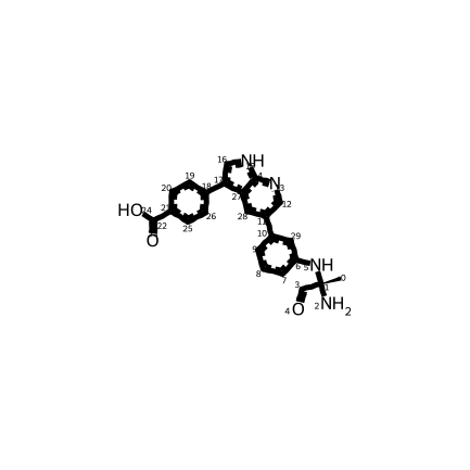 C[C@@](N)(C=O)Nc1cccc(-c2cnc3[nH]cc(-c4ccc(C(=O)O)cc4)c3c2)c1